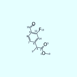 COC(=O)C(C)c1ccc(C=O)c(F)c1